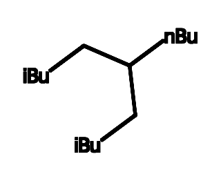 CCCCC(CC(C)CC)CC(C)CC